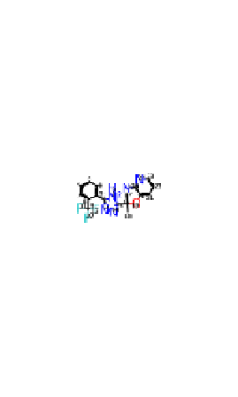 Cn1c(-c2ccccc2C(F)(F)F)nnc1C(C)(C)Oc1cccnc1N